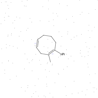 CCC/C1=C(\C)C/C=C\CCC1